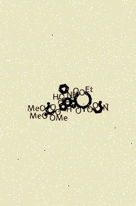 CC[C@H]1CCC[C@H](O[C@H]2CC[C@H](N(C)C)C(C)O2)[C@@H](C)C(=O)C2=C[C@H]3[C@@H]4C[C@H](O[C@@H]5OC(C)[C@H](OC)C(OC)C5OC)C[C@H]4C(O)C(Nc4ccccc4)[C@H]3[C@@H]2CC(=O)O1